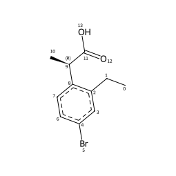 CCc1cc(Br)ccc1[C@@H](C)C(=O)O